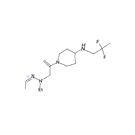 C=C(CN(CC)/N=C\C)N1CCC(NCC(C)(F)F)CC1